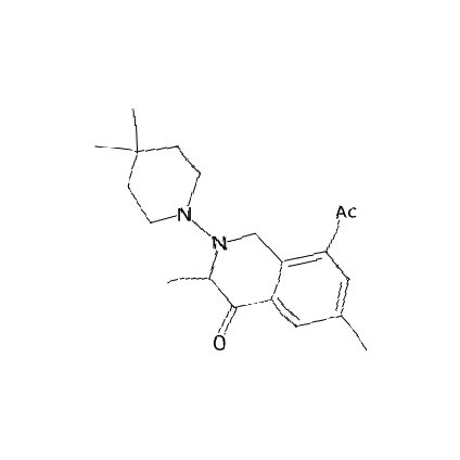 CC(=O)c1cc(C)cc2c1CN(N1CCC(C)(C)CC1)C(C)C2=O